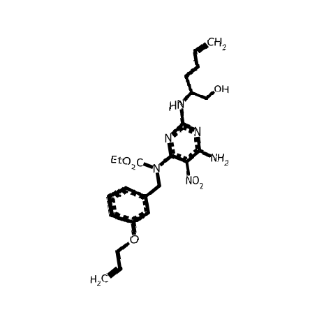 C=CCCC(CO)Nc1nc(N)c([N+](=O)[O-])c(N(Cc2cccc(OCC=C)c2)C(=O)OCC)n1